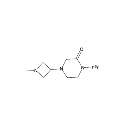 CCCN1CCN(C2CN(C)C2)CC1=O